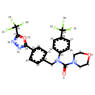 O=C(N1CCOCC1)N(Cc1ccc(-c2nnc(C(F)(F)F)o2)cc1)c1ccc(C(F)(F)F)cc1